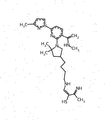 C=C(NC)c1ccc(-n2ccc(C)n2)nc1N1CC(CCCCN/C=C(/S)C(C)=N)CC1(C)C